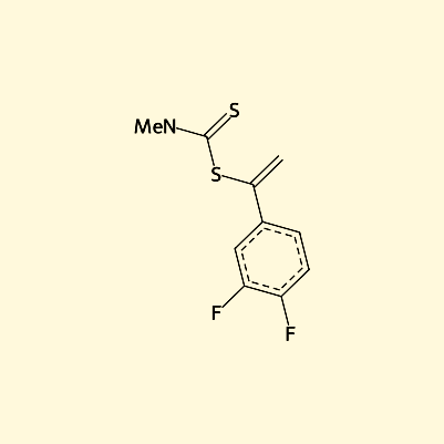 C=C(SC(=S)NC)c1ccc(F)c(F)c1